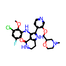 COc1c(Cl)cc(F)cc1Nc1c(-c2ccncc2OCC2CN(C)CCO2)[nH]c2c1C(=O)NCC2